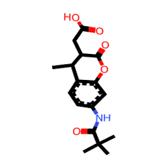 CC1c2ccc(NC(=O)C(C)(C)C)cc2OC(=O)C1CC(=O)O